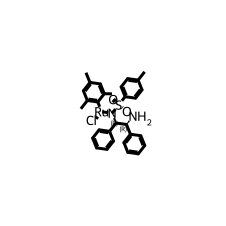 Cc1ccc(S(=O)(=O)[N]([C@H](c2ccccc2)[C@H](N)c2ccccc2)[Ru]([Cl])[c]2c(C)cc(C)cc2C)cc1